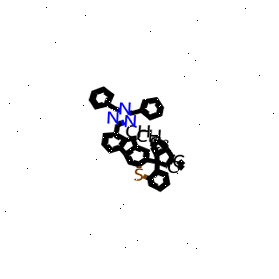 CC1(C)c2cc3c(cc2-c2cccc(-c4nc(-c5ccccc5)nc(-c5ccccc5)n4)c21)Sc1ccccc1C31c2ccccc2-c2ccccc21